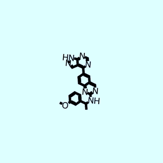 COc1cccc(C(C)Nc2ncc3cc(-c4ncnc5[nH]ncc45)ccc3n2)c1